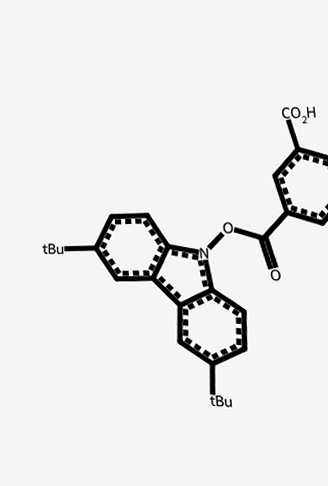 CC(C)(C)c1ccc2c(c1)c1cc(C(C)(C)C)ccc1n2OC(=O)c1cccc(C(=O)O)c1